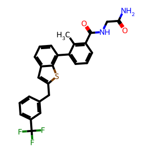 Cc1c(C(=O)NCC(N)=O)cccc1-c1cccc2cc(Cc3cccc(C(F)(F)F)c3)sc12